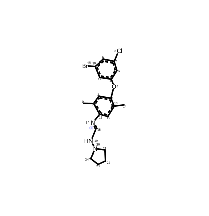 Cc1cc(Oc2cc(Cl)cc(Br)c2)c(C)cc1/N=C/NN1CCCC1